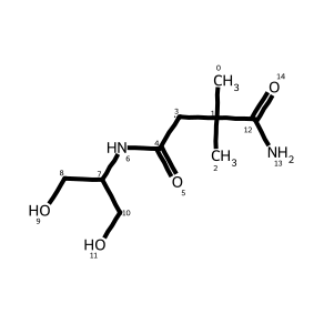 CC(C)([CH]C(=O)NC(CO)CO)C(N)=O